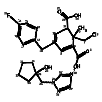 CC1(CCl)C(C(=O)O)=CC(Cc2ccc(F)cc2)=CC1C(=O)O.OC1(Cn2cncn2)CCCC1